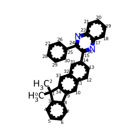 CC1(C)c2ccccc2-c2cc3ccc(-c4nc5ccccc5nc4-c4ccccc4)cc3cc21